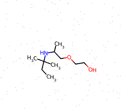 CCC(C)(C)NC(C)COCCO